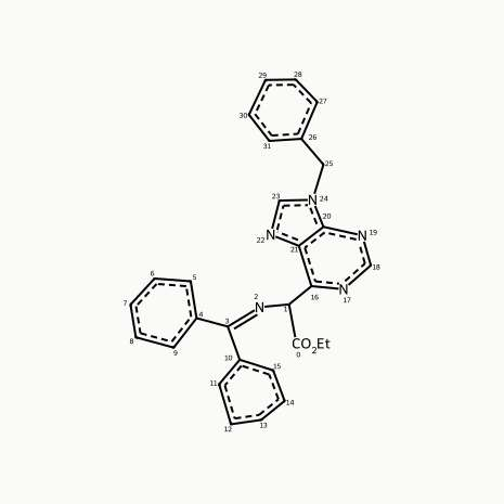 CCOC(=O)C(N=C(c1ccccc1)c1ccccc1)c1ncnc2c1ncn2Cc1ccccc1